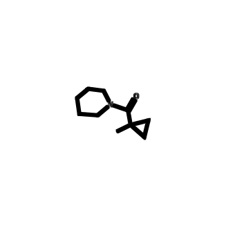 CC1(C(=O)N2C[CH]CCC2)CC1